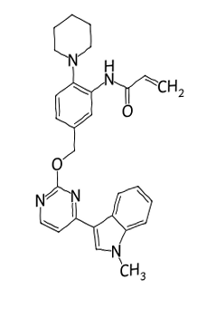 C=CC(=O)Nc1cc(COc2nccc(-c3cn(C)c4ccccc34)n2)ccc1N1CCCCC1